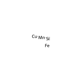 [Cu].[Fe].[Mn].[Si]